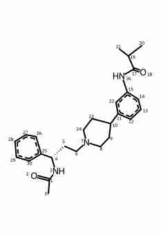 CC(=O)N[C@@H](CCN1CCC(c2cccc(NC(=O)C(C)C)c2)CC1)c1ccccc1